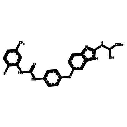 COC(O)Nc1nc2ccc(Sc3ccc(NC(=O)Nc4cc(C(F)(F)F)ccc4F)cc3)cc2[nH]1